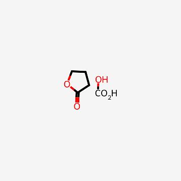 O=C(O)O.O=C1CCCO1